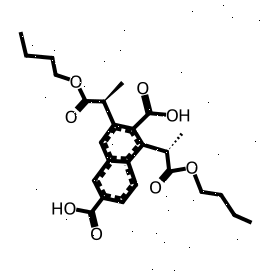 CCCCOC(=O)[C@@H](C)c1cc2cc(C(=O)O)ccc2c([C@H](C)C(=O)OCCCC)c1C(=O)O